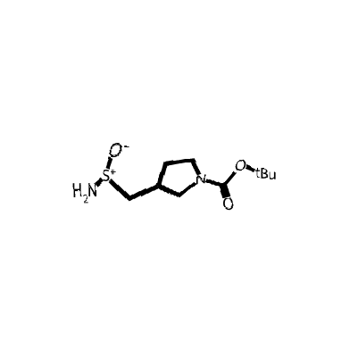 CC(C)(C)OC(=O)N1CCC(C[S+](N)[O-])C1